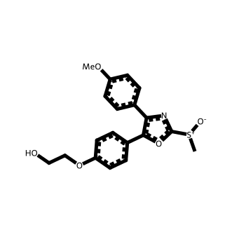 COc1ccc(-c2nc([S+](C)[O-])oc2-c2ccc(OCCO)cc2)cc1